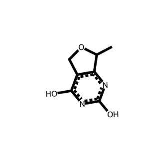 CC1OCc2c(O)nc(O)nc21